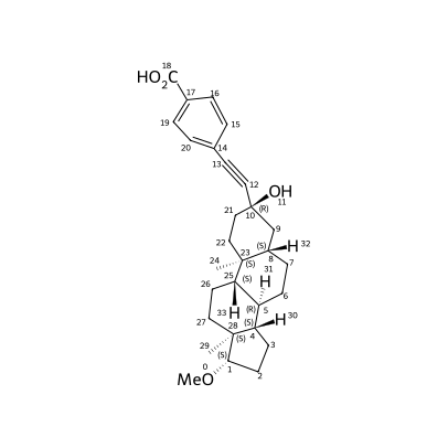 CO[C@H]1CC[C@H]2[C@@H]3CC[C@H]4C[C@@](O)(C#Cc5ccc(C(=O)O)cc5)CC[C@]4(C)[C@H]3CC[C@]12C